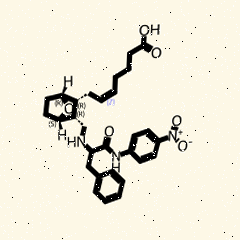 O=C(O)CCC/C=C\C[C@@H]1[C@H](CNC(Cc2ccccc2)C(=O)Nc2ccc([N+](=O)[O-])cc2)[C@@H]2CC[C@H]1O2